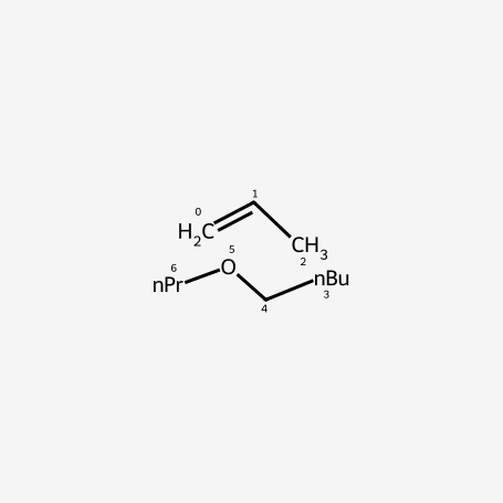 C=CC.CCCCCOCCC